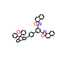 c1ccc2c(c1)Oc1ccccc1C21c2ccccc2-c2ccc(-c3ccc(-c4cc(-c5nc6c(ccc7ccccc76)o5)cc(-c5nc6c(ccc7ccccc76)o5)c4)cc3)cc21